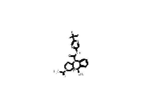 CC(=O)N1CCC(N(C(=O)Nc2cnc(C(F)(F)F)cn2)c2ccccc2C(C)C)CC1